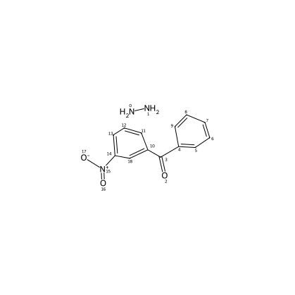 NN.O=C(c1ccccc1)c1cccc([N+](=O)[O-])c1